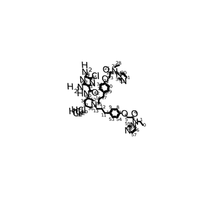 CCN(C(=O)COc1ccc(CCC[N+]2(CCCc3ccc(OCC(=O)N(CC)n4ccnc4)cc3)CCCC(NC(=O)c3nc(Cl)c(N)nc3N)C2)cc1)n1ccnc1.Cl.Cl.[Cl-]